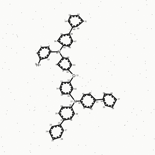 [3H]c1cccc(N(c2ccc(Oc3cccc(N(c4ccc(-c5ccccc5)cc4)c4ccc(-c5ccccc5)cc4)c3)cc2)c2ccc(-c3ccccc3)cc2)c1